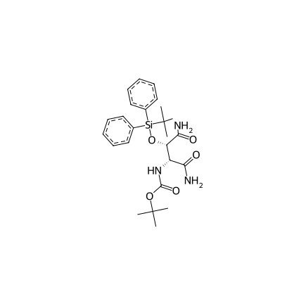 CC(C)(C)OC(=O)N[C@@H](C(N)=O)[C@H](O[Si](c1ccccc1)(c1ccccc1)C(C)(C)C)C(N)=O